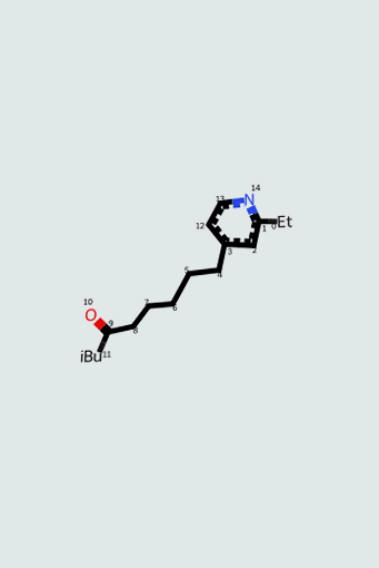 CCc1cc(CCCCCC(=O)C(C)CC)ccn1